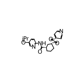 CC(C)Oc1ccc(NC(=O)[C@@H]2CCC[C@@H](S(=O)(=O)c3ccncc3)C2)nc1